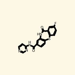 O=C(Nc1ccncn1)c1ccc2c(c1)NC(=O)c1cc(F)ccc1S2